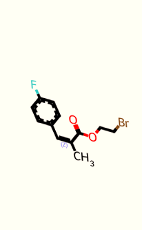 C/C(=C/c1ccc(F)cc1)C(=O)OCCBr